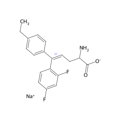 CCc1ccc(/C(=C/CC(N)C(=O)[O-])c2ccc(F)cc2F)cc1.[Na+]